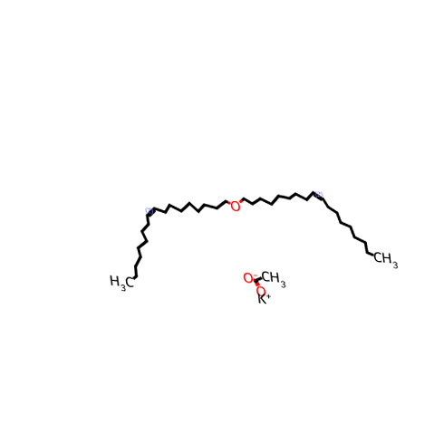 CC(=O)[O-].CCCCCCCC/C=C\CCCCCCCCOCCCCCCCC/C=C\CCCCCCCC.[K+]